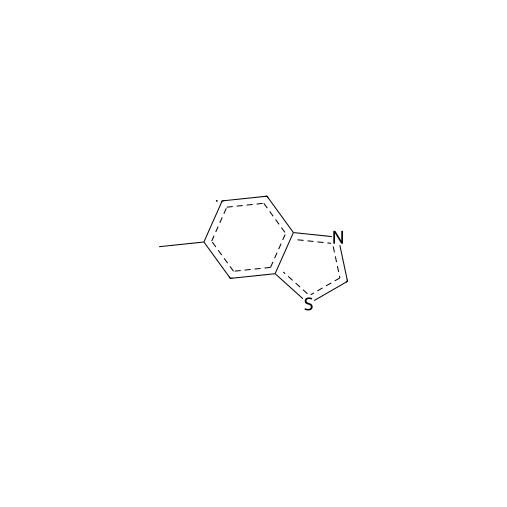 Cc1[c]cc2ncsc2c1